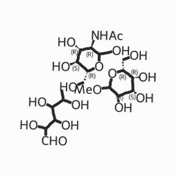 CC(=O)N[C@H]1C(O)O[C@H](CO)[C@@H](O)[C@@H]1O.CC(O)C(O)C(O)C(O)C=O.COC1O[C@H](CO)[C@H](O)[C@H](O)[C@H]1O